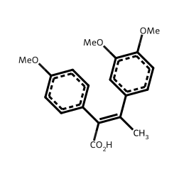 COc1ccc(C(C(=O)O)=C(C)c2ccc(OC)c(OC)c2)cc1